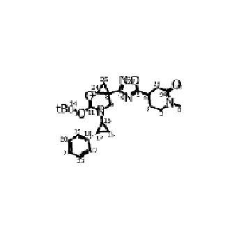 CN1CCC(c2nc(C3(CN(C(=O)OC(C)(C)C)[C@H]4C[C@@H]4c4ccccc4)CC3)no2)CC1=O